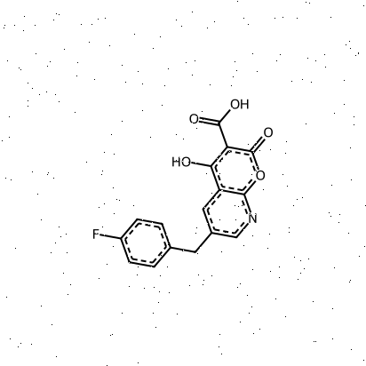 O=C(O)c1c(O)c2cc(Cc3ccc(F)cc3)cnc2oc1=O